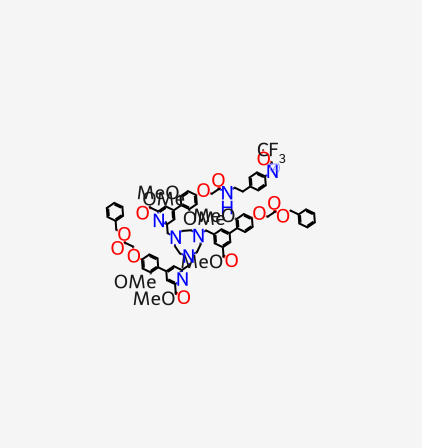 COC(=O)c1cc(CN2CCN(Cc3cc(-c4ccc(OCC(=O)OCc5ccccc5)cc4OC)cc(C(=O)OC)n3)CCN(Cc3cc(-c4c(OC)cc(OCC(=O)NCCc5ccc(/N=C\OC(F)(F)F)cc5)cc4OC)cc(C(=O)OC)n3)CC2)cc(-c2ccc(OCC(=O)OCc3ccccc3)cc2OC)c1